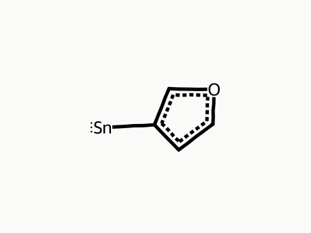 [Sn][c]1ccoc1